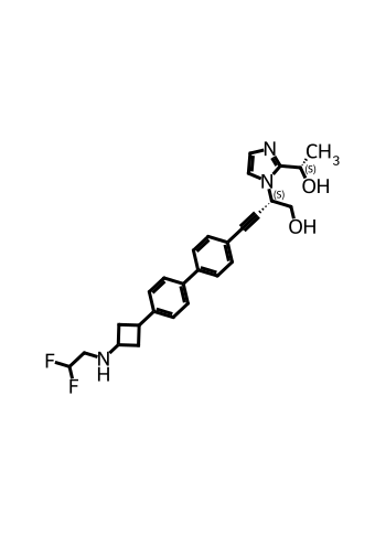 C[C@H](O)c1nccn1[C@@H](C#Cc1ccc(-c2ccc(C3CC(NCC(F)F)C3)cc2)cc1)CO